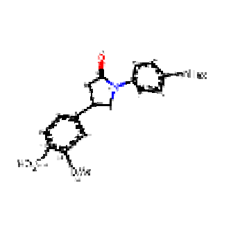 CCCCCCc1ccc(N2CC(c3ccc(C(=O)O)c(OC)c3)CC2=O)cc1